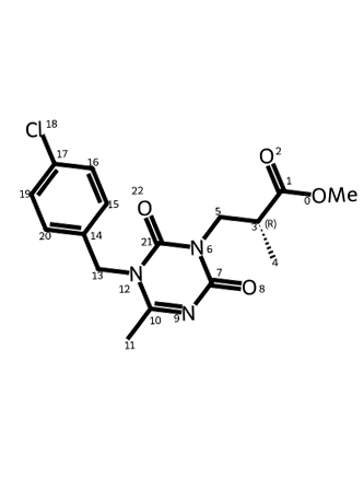 COC(=O)[C@H](C)Cn1c(=O)nc(C)n(Cc2ccc(Cl)cc2)c1=O